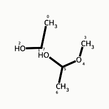 CCO.COC(C)O